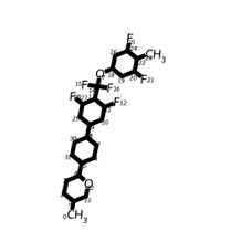 CC1CCC(C2CCC(C3CC(F)C(C(F)(F)OC4CC(F)C(C)C(F)C4)C(F)C3)CC2)OC1